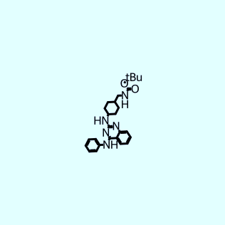 CC(C)(C)OC(=O)NCC1CCC(Nc2nc(Nc3ccccc3)c3ccccc3n2)CC1